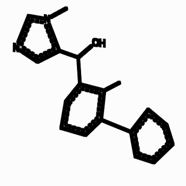 Cc1c(-c2ccccc2)cccc1C(O)c1cncn1C